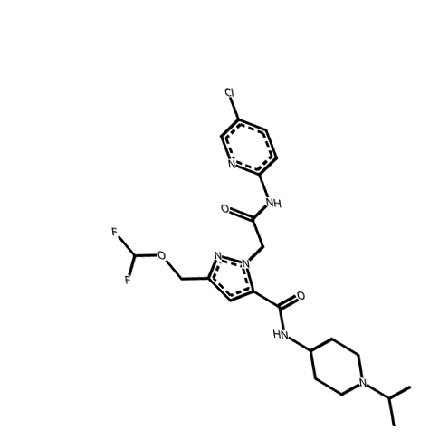 CC(C)N1CCC(NC(=O)c2cc(COC(F)F)nn2CC(=O)Nc2ccc(Cl)cn2)CC1